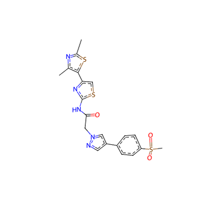 Cc1nc(C)c(-c2csc(NC(=O)Cn3cc(-c4ccc(S(C)(=O)=O)cc4)cn3)n2)s1